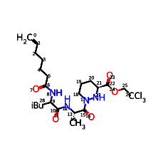 C=CCCCCC(=O)NC(C(=O)N[C@@H](C)C(=O)N1CCC[C@@H](C(=O)OCC(Cl)(Cl)Cl)N1)C(C)CC